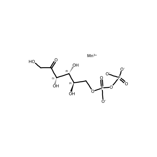 O=C(CO)[C@@H](O)[C@H](O)[C@H](O)COP(=O)([O-])OP(=O)([O-])[O-].[Mn+3]